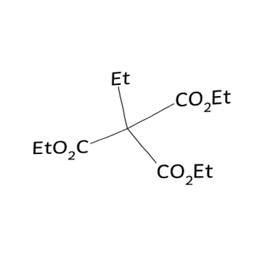 [CH2]CC(C(=O)OCC)(C(=O)OCC)C(=O)OCC